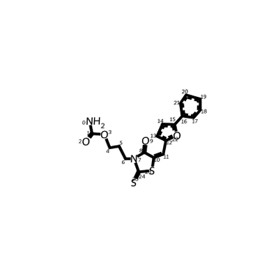 NC(=O)OCCCN1C(=O)/C(=C\c2ccc(-c3ccccc3)o2)SC1=S